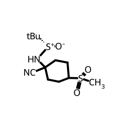 CC(C)(C)[S@+]([O-])NC1(C#N)CCC(S(C)(=O)=O)CC1